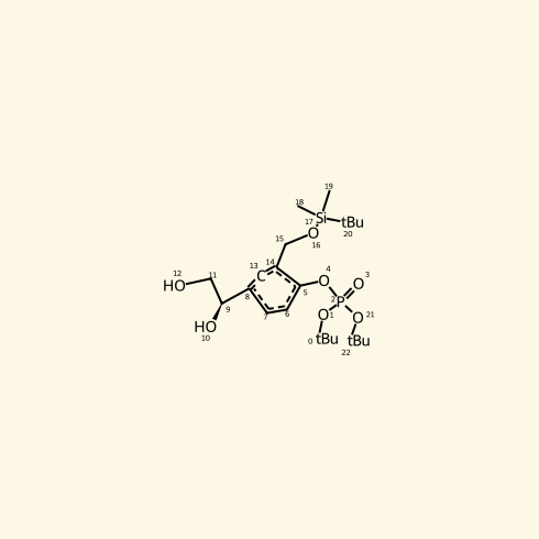 CC(C)(C)OP(=O)(Oc1ccc([C@@H](O)CO)cc1CO[Si](C)(C)C(C)(C)C)OC(C)(C)C